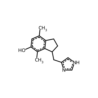 Cc1cc(O)c(C)c2c1CCC2Cc1c[nH]cn1